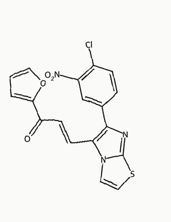 O=C(C=Cc1c(-c2ccc(Cl)c([N+](=O)[O-])c2)nc2sccn12)c1ccco1